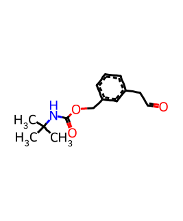 CC(C)(C)NC(=O)OCc1cccc(CC=O)c1